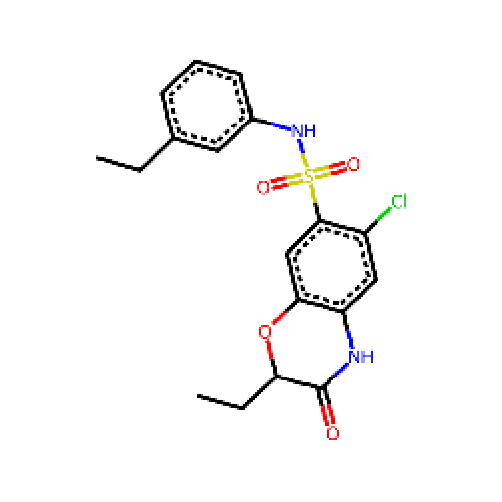 CCc1cccc(NS(=O)(=O)c2cc3c(cc2Cl)NC(=O)C(CC)O3)c1